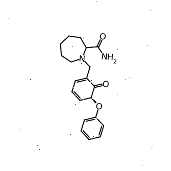 NC(=O)C1[CH]CCCCN1CC1=CC=C[C@H](Oc2ccccc2)C1=O